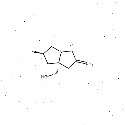 C=C1CN2C[C@H](F)C[C@]2(CO)C1